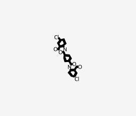 O=c1oc(-c2ccc(-c3nc4ccc(Cl)cc4c(=O)o3)cc2)nc2ccc(Cl)cc12